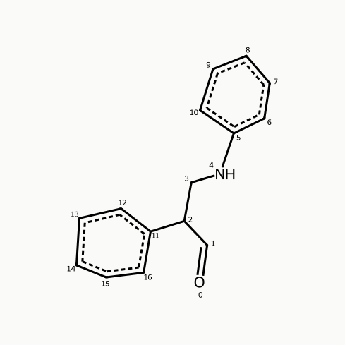 O=CC(CNc1ccccc1)c1ccccc1